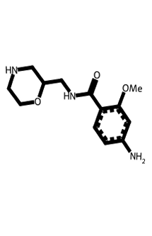 COc1cc(N)ccc1C(=O)NCC1CNCCO1